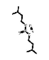 CC(C)CCO[N+](=O)OCCC(C)C.O=S